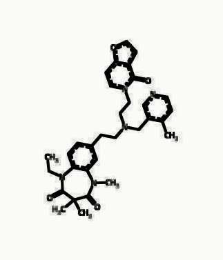 CCN1C(=O)C(C)(C)C(=O)N(C)c2cc(CCN(CCn3ccc4occc4c3=O)Cc3cnccc3C)ccc21